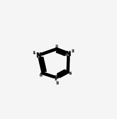 [c]1ncncp1